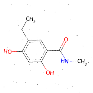 CCc1cc(C(=O)NC)c(O)cc1O